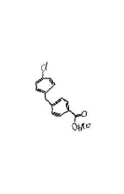 COC(=O)c1ccc(Cc2ccc(Cl)cc2)cc1